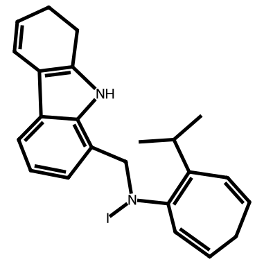 CC(C)C1=C(N(I)Cc2cccc3c4c([nH]c23)CCC=C4)C=CCC=C1